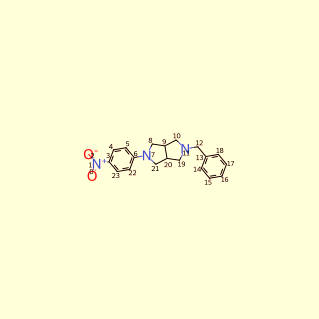 O=[N+]([O-])c1ccc(N2CC3CN(Cc4ccccc4)CC3C2)cc1